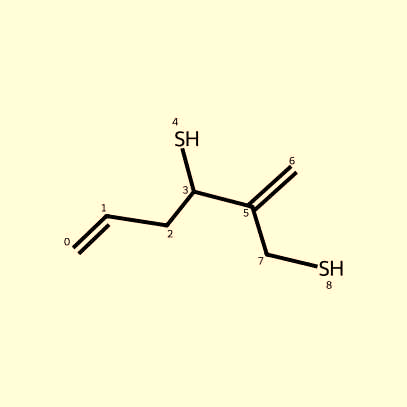 C=CCC(S)C(=C)CS